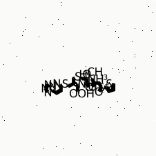 CO[C@@]1(NC(=O)C[S+]([O-])c2cccs2)C(=O)N2C(C(=O)O)=C(CSc3ccc4nnnn4n3)CS[C@H]21